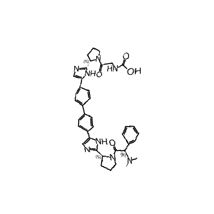 CN(C)[C@@H](C(=O)N1CCC[C@H]1c1ncc(-c2ccc(-c3ccc(-c4cnc([C@@H]5CCCN5C(=O)CNC(=O)O)[nH]4)cc3)cc2)[nH]1)c1ccccc1